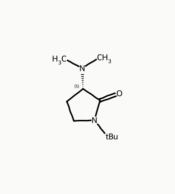 CN(C)[C@H]1CCN(C(C)(C)C)C1=O